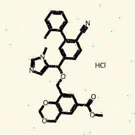 COC(=O)c1cc2c(c(COC(c3ccc(C#N)c(-c4ccccc4C)c3)c3cncn3C)c1)OCOC2.Cl